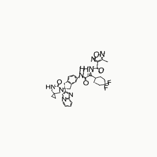 Cc1nonc1C(=O)N[C@H](C(=O)Nc1ccc2c(c1)CC(c1cn3ccccc3n1)(N1CC3(CC3)CNC1=O)C2)C1CCC(F)(F)CC1